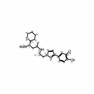 CNN(CC(C)N[C@@H](C)Cn1ccc(-c2ccc(C#N)c(Cl)c2)n1)C1CCCCO1